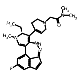 CC[C@H]1C(C2=CCN(CC(=O)N(C)C)CC2)=C2NN=C3C=Cc4cc(F)cc(c43)C2=CN1C